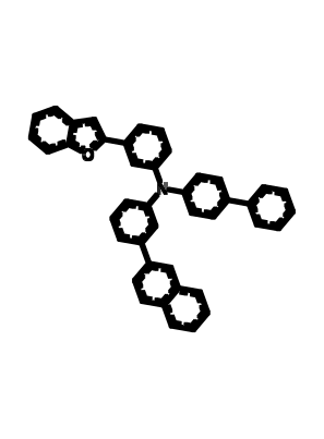 c1ccc(-c2ccc(N(c3cccc(-c4ccc5ccccc5c4)c3)c3cccc(-c4cc5ccccc5o4)c3)cc2)cc1